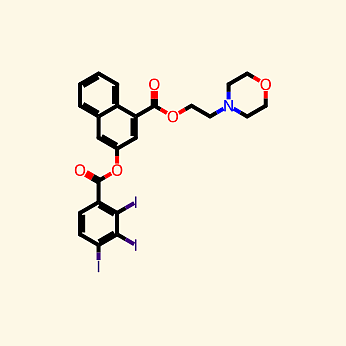 O=C(Oc1cc(C(=O)OCCN2CCOCC2)c2ccccc2c1)c1ccc(I)c(I)c1I